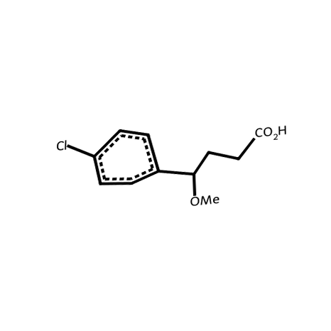 COC(CCC(=O)O)c1ccc(Cl)cc1